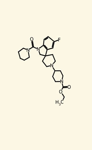 CCOC(=O)N1CCC(N2CCC3(CC2)CN(C(=O)N2CCCCC2)c2ccc(F)cc23)CC1